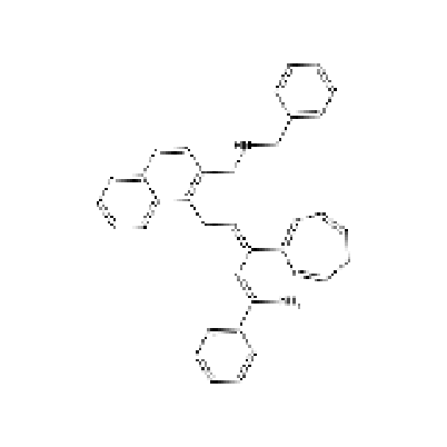 N/C(=N\C(=C/Cc1c(CNCc2ccccc2)ccc2ccccc12)C1=CC=CCC=C1)c1ccccc1